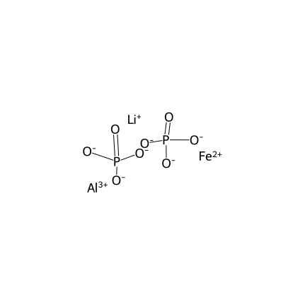 O=P([O-])([O-])[O-].O=P([O-])([O-])[O-].[Al+3].[Fe+2].[Li+]